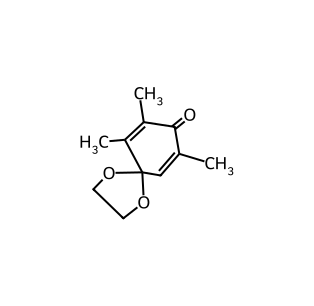 CC1=CC2(OCCO2)C(C)=C(C)C1=O